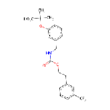 CC(C)(Oc1cccc(CNC(=O)OCCc2cccc(C(F)(F)F)c2)c1)C(=O)O